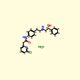 Cl.O=C(Cc1cccc(Cl)n1)Nc1ccc(CCNC[C@H](O)c2ccccc2)cc1